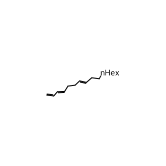 C=CC=CCCC=CCCCCCCCC